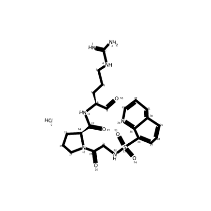 Cl.N=C(N)NCCC[C@@H](C=O)NC(=O)[C@@H]1CCCN1C(=O)CNS(=O)(=O)c1cccc2cccnc12